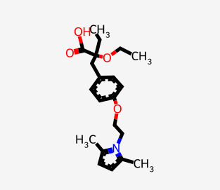 CCOC(CC)(Cc1ccc(OCCn2c(C)ccc2C)cc1)C(=O)O